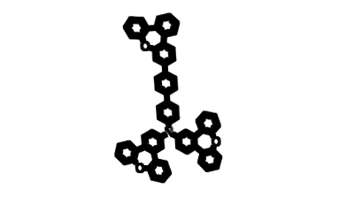 c1ccc2c(c1)Oc1cc(-c3ccc(-c4ccc(N(c5ccc6c(c5)-c5ccccc5Oc5ccccc5-6)c5ccc6c(c5)-c5ccccc5Oc5ccccc5-6)cc4)cc3)ccc1-c1ccccc1-2